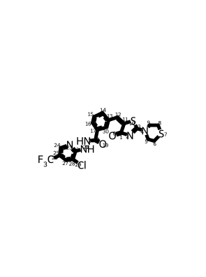 O=C1N=C(N2CCSCC2)S/C1=C/c1cccc(C(=O)NNc2ncc(C(F)(F)F)cc2Cl)c1